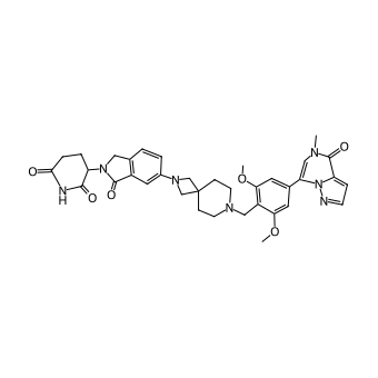 COc1cc(-c2cn(C)c(=O)c3ccnn23)cc(OC)c1CN1CCC2(CC1)CN(c1ccc3c(c1)C(=O)N(C1CCC(=O)NC1=O)C3)C2